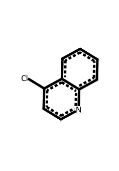 Clc1c[c]nc2ccccc12